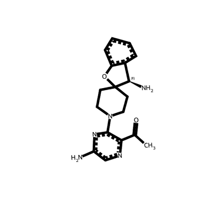 CC(=O)c1ncc(N)nc1N1CCC2(CC1)Oc1ccccc1[C@H]2N